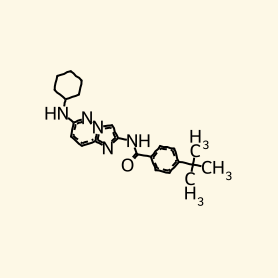 CC(C)(C)c1ccc(C(=O)Nc2cn3nc(NC4CCCCC4)ccc3n2)cc1